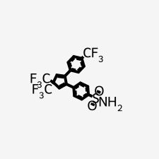 NS(=O)(=O)c1ccc(C2=CC(C(F)(F)F)(C(F)(F)F)C=C2c2ccc(C(F)(F)F)cc2)cc1